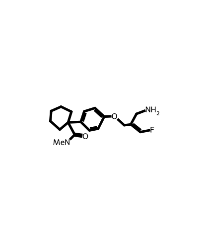 CNC(=O)C1(c2ccc(OCC(=CF)CN)cc2)CCCCC1